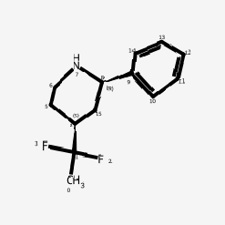 CC(F)(F)[C@H]1CCN[C@@H](c2ccccc2)C1